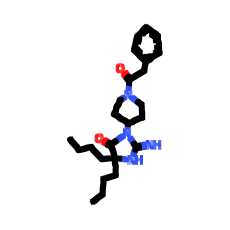 CCCCC1(CCCC)NC(=N)N(C2CCN(C(=O)Cc3ccccc3)CC2)C1=O